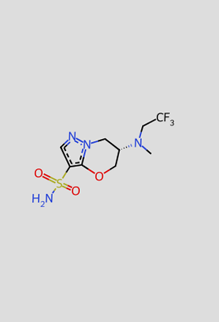 CN(CC(F)(F)F)[C@@H]1COc2c(S(N)(=O)=O)cnn2C1